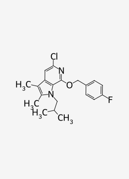 Cc1c(C)n(CC(C)C)c2c(OCc3ccc(F)cc3)nc(Cl)cc12